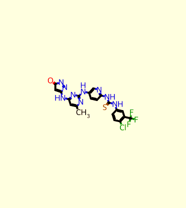 Cc1cc(NC2=CC(=O)N=N2)nc(Nc2ccc(NC(=S)Nc3ccc(Cl)c(C(F)(F)F)c3)nc2)n1